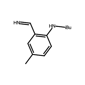 CCC(C)Nc1ccc(C)cc1C=N